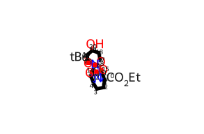 CCOC(=O)C12CCC(CN(C(=O)OC(C)(C)C)C1)N2S(=O)(=O)N1CCC(O)CC1